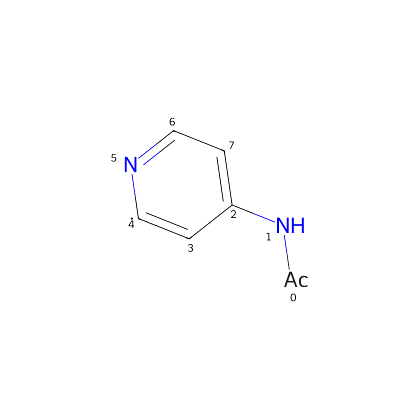 CC(=O)Nc1c[c]ncc1